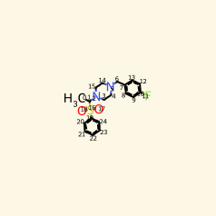 CC(N1CCN(Cc2ccc(F)cc2)CC1)S(=O)(=O)c1ccccc1